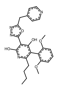 CCCCc1nc(O)c(-c2nnc(Cc3ccncc3)o2)c(O)c1-c1c(OC)cccc1OC